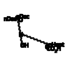 CCCCCCCCCCN(CCCCCCCCCC)C(=O)CCCCCCCN(CCCCCO)CCCCCCCCCCCCCCCC(CCCCCCC)OC(=O)O